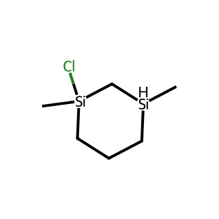 C[SiH]1CCC[Si](C)(Cl)C1